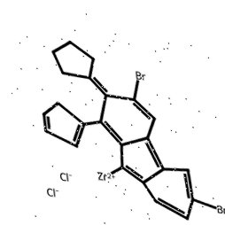 Brc1ccc2c(c1)=c1cc(Br)c(=C3CCCC3)c(C3=CC=CC3)c1[C]=2[Zr+2].[Cl-].[Cl-]